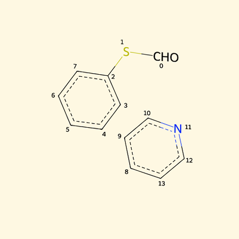 O=CSc1ccccc1.c1ccncc1